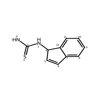 [NH]C(=S)NC1C=Cc2ccccc21